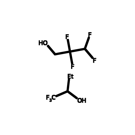 CCC(O)C(F)(F)F.OCC(F)(F)C(F)F